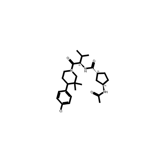 CC(=O)N[C@@H]1CC[C@@H](C(=O)N[C@@H](C(=O)N2CCC(c3ccc(Cl)cc3)C(C)(C)C2)C(C)C)C1